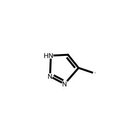 [CH2]c1c[nH]nn1